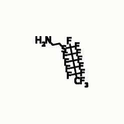 NCCSC(F)(F)C(F)(F)C(F)(F)C(F)(F)C(F)(F)C(F)(F)F